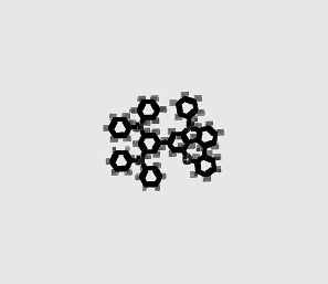 c1ccc(N(c2ccccc2)c2cc(-c3cc4oc5ccccc5c5cccc6c5c4c(c3)n6-c3ccccc3)cc(N(c3ccccc3)c3ccccc3)c2)cc1